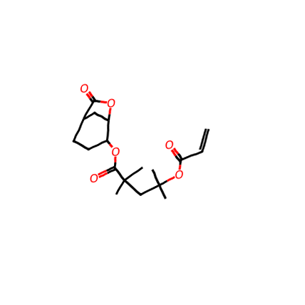 C=CC(=O)OC(C)(C)CC(C)(C)C(=O)OC1CCC2CC1OC2=O